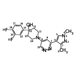 Cc1nn(C)cc1-c1cc(N2CCC(O)(c3ccc(F)c(F)c3)CC2)cnn1